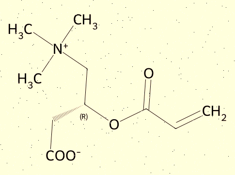 C=CC(=O)O[C@H](CC(=O)[O-])C[N+](C)(C)C